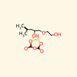 C=C(C)CC(O)COCCO.O=c1ossoc(=O)o1